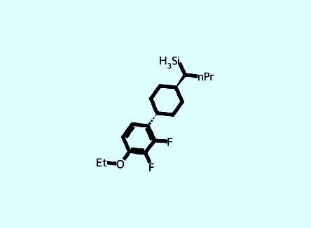 CCCC([SiH3])[C@H]1CC[C@H](c2ccc(OCC)c(F)c2F)CC1